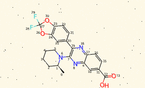 C[C@H]1CCCCN1c1nc2cc(C(=O)O)ccc2nc1-c1ccc2c(c1)OC(F)(F)O2